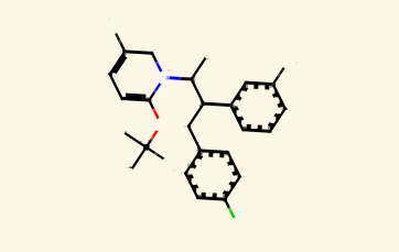 CC(C(Cc1ccc(Cl)cc1)c1cccc(C#N)c1)N1CC(C(F)(F)F)=CC=C1OC(C)(C)C=O